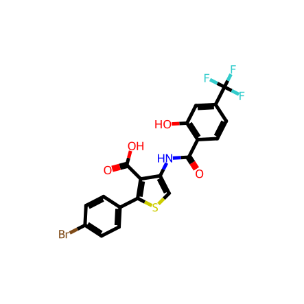 O=C(Nc1csc(-c2ccc(Br)cc2)c1C(=O)O)c1ccc(C(F)(F)F)cc1O